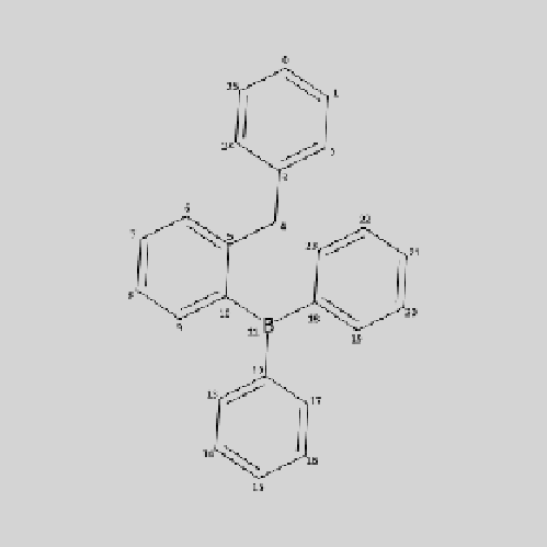 c1ccc(Cc2ccccc2B(c2ccccc2)c2ccccc2)cc1